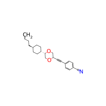 C=CCC[C@H]1CC[C@H](C2COC(C#Cc3ccc(C#N)cc3)CO2)CC1